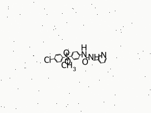 Cc1cc(Cl)ccc1S(=O)(=O)c1ccc(NC(=O)NCc2cccnc2)cc1